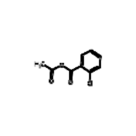 CC(=O)OC(=O)c1ccccc1Cl